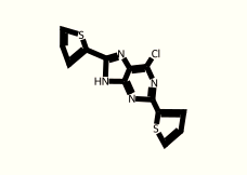 Clc1nc(-c2cccs2)nc2[nH]c(-c3cccs3)nc12